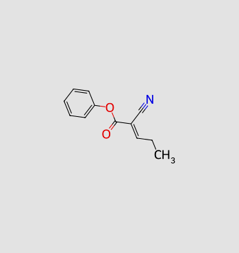 CCC=C(C#N)C(=O)Oc1ccccc1